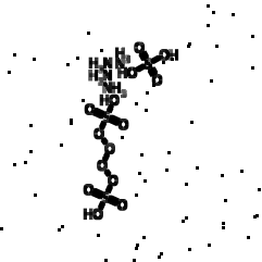 N.N.N.N.O=S(=O)(O)O.O=S(=O)(O)OOOOS(=O)(=O)O